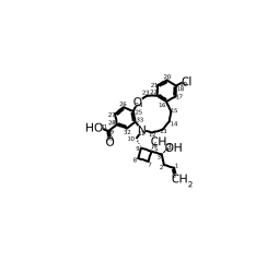 C=CC[C@@H](O)[C@@]1(C)CC[C@@H]1CN1CCCCc2cc(Cl)ccc2COc2ccc(C(=O)O)cc21